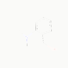 CN(C(=O)O)c1ccccc1CO